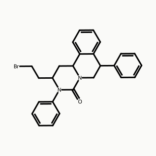 O=C1N2CC(c3ccccc3)c3ccccc3C2CC(CCBr)N1c1ccccc1